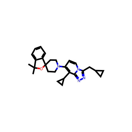 CC1(C)OC2(CCN(c3ccn4c(CC5CC5)nnc4c3C3CC3)CC2)c2ccccc21